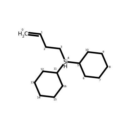 C=CCC[SiH](C1CCCCC1)C1CCCCC1